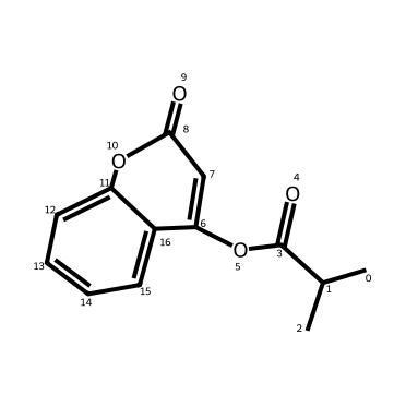 CC(C)C(=O)Oc1cc(=O)oc2ccccc12